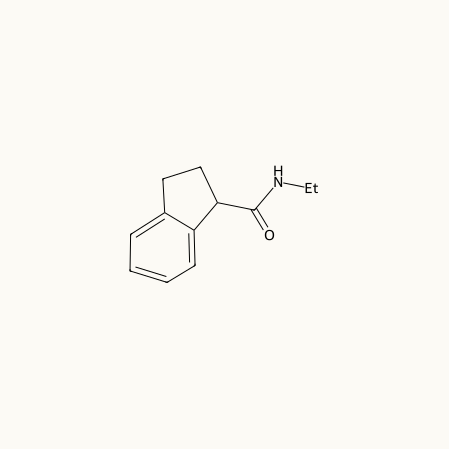 [CH2]CNC(=O)C1CCc2ccccc21